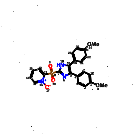 COc1ccc(-c2nc(S(=O)(=O)c3cccc[n+]3[O-])[nH]c2-c2ccc(OC)cc2)cc1